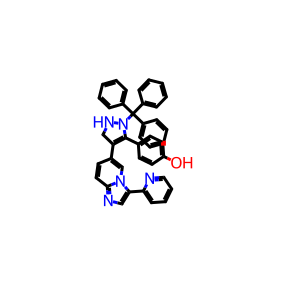 Oc1ccc(C2=C(c3ccc4ncc(-c5ccccn5)n4c3)CNN2C(c2ccccc2)(c2ccccc2)c2ccccc2)cc1